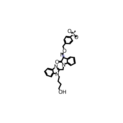 CS(=O)(=O)c1ccc(CO/N=C2/C(=O)N(Cc3nc4ccccc4n3CCCCO)c3ccccc32)cc1